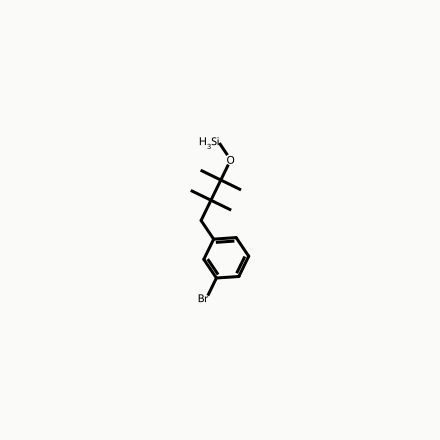 CC(C)(Cc1cccc(Br)c1)C(C)(C)O[SiH3]